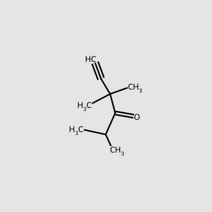 C#CC(C)(C)C(=O)C(C)C